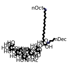 CCCCCCCC/C=C\CCCCCCCCCCCCCCCC(=O)N[C@@H](CO[C@@H]1OC(CO)[C@@H](O[C@@H]2OC(CO)[C@H](O)[C@H](O[C@@H]3OC(CO)[C@@H](O[C@@H]4OC(CO)[C@H](O)[C@H](O[C@H]5OC(CO)[C@H](O)[C@H](O)C5O)C4O)[C@H](O)C3NC(C)=O)C2O)[C@H](O)C1O)[C@H](O)/C=C/CCCCCCCCCCCCC